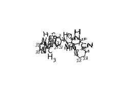 Cc1cc(NC(=N)c2c(N[C@H]3CCCCC3C#N)cc[nH]c2=O)ccc1C(C)(C)n1nccn1